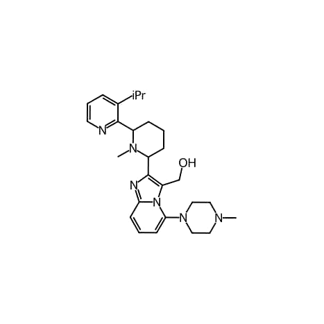 CC(C)c1cccnc1C1CCCC(c2nc3cccc(N4CCN(C)CC4)n3c2CO)N1C